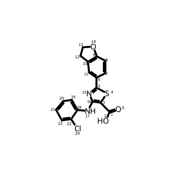 O=C(O)c1sc(-c2ccc3c(c2)CCO3)nc1Nc1ccccc1Cl